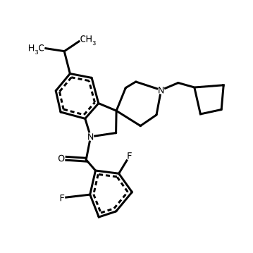 CC(C)c1ccc2c(c1)C1(CCN(CC3CCC3)CC1)CN2C(=O)c1c(F)cccc1F